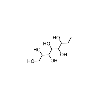 CCC(O)C(O)C(O)C(O)C(O)CO